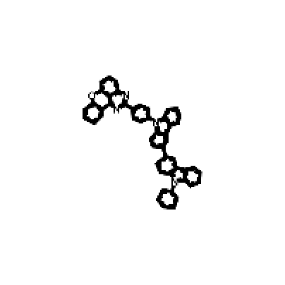 c1ccc(-n2c3ccccc3c3cc(-c4ccc5c(c4)c4ccccc4n5-c4ccc(-c5nc6c7c(cccc7n5)Oc5ccccc5-6)cc4)ccc32)cc1